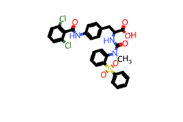 CN(C(=O)NC(Cc1ccc(NC(=O)c2c(Cl)cccc2Cl)cc1)C(=O)O)c1ccccc1S(=O)(=O)c1ccccc1